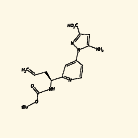 C=CC[C@H](NC(=O)OC(C)(C)C)c1cc(-n2nc(C(=O)O)cc2N)ccn1